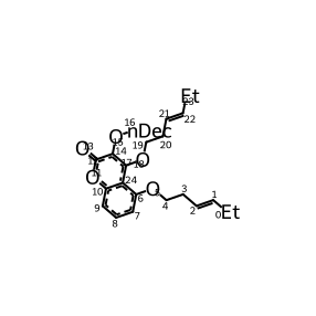 CCC=CCCOc1cccc2oc(=O)c(OCCCCCCCCCC)c(OCCC=CCC)c12